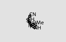 COc1cc2c(N3CCN(C(=S)NCc4ccc(C#N)cc4)CC3)ncnc2cc1OC(C)C1CCCCN1